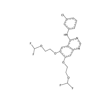 FC(F)OCCOc1cc2ncnc(Nc3cccc(Cl)c3)c2cc1OCCOC(F)F